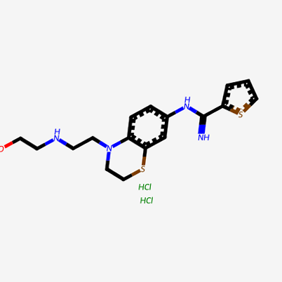 Cl.Cl.N=C(Nc1ccc2c(c1)SCCN2CCNCCO)c1cccs1